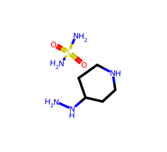 NNC1CCNCC1.NS(N)(=O)=O